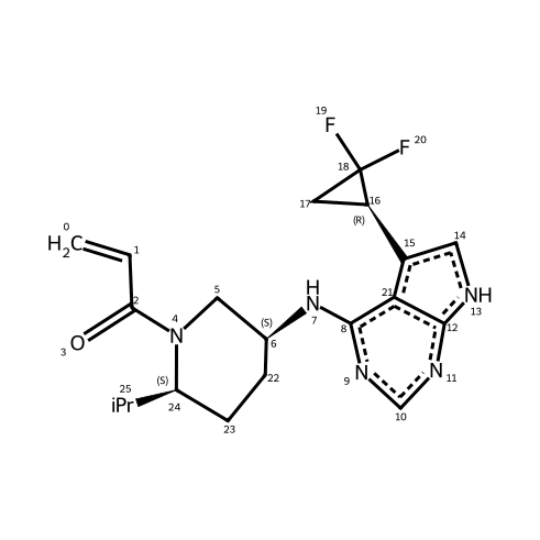 C=CC(=O)N1C[C@@H](Nc2ncnc3[nH]cc([C@H]4CC4(F)F)c23)CC[C@H]1C(C)C